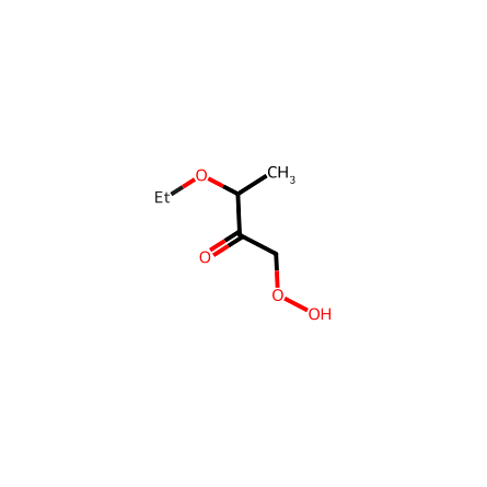 CCOC(C)C(=O)COO